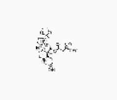 CCCN(CCC)CC(=O)O[C@H]1C[C@]2(C)[C@@H](C3(C)OCCO3)CC[C@H]2[C@@H]2CC[C@H]3C[C@H](O)CC[C@]3(C)[C@H]21